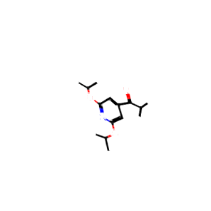 CC(C)Oc1cc(C(=O)C(C)C)cc(OC(C)C)n1